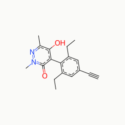 C#Cc1cc(CC)c(-c2c(O)c(C)nn(C)c2=O)c(CC)c1